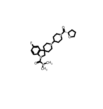 CN(C)C(=O)N1CC2(CCN(C3CCN(C(=O)[C@@H]4CCCO4)CC3)CC2)c2cc(F)ccc21